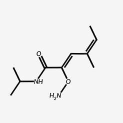 C/C=C(C)\C=C(/ON)C(=O)NC(C)C